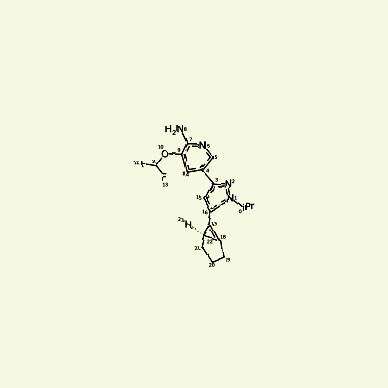 CC(C)n1nc(-c2cnc(N)c(OC(F)F)c2)cc1C1=C2CCC[C@H]21